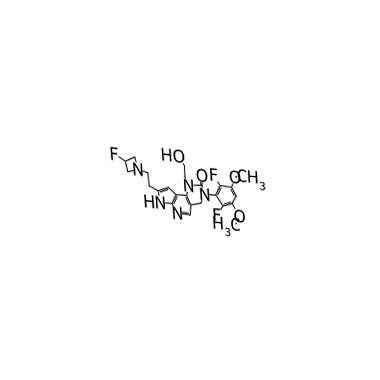 COc1cc(OC)c(F)c(N2Cc3cnc4[nH]c(CCN5CC(F)C5)cc4c3N(CCO)C2=O)c1F